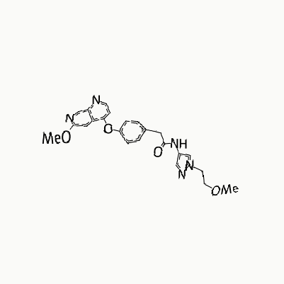 COCCn1cc(NC(=O)Cc2ccc(Oc3ccnc4cnc(OC)cc34)cc2)cn1